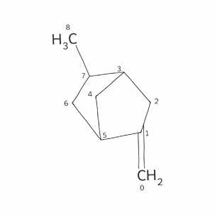 C=C1CC2CC1CC2C